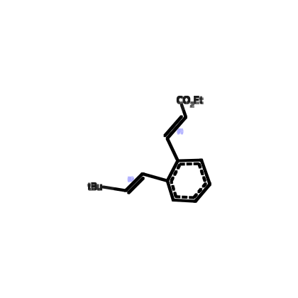 CCOC(=O)/C=C/c1ccccc1/C=C/C(C)(C)C